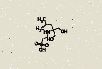 CC(C)CC(CO)(CO)NCCS(=O)(=O)O